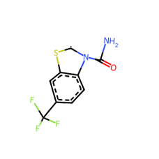 NC(=O)N1[CH]Sc2cc(C(F)(F)F)ccc21